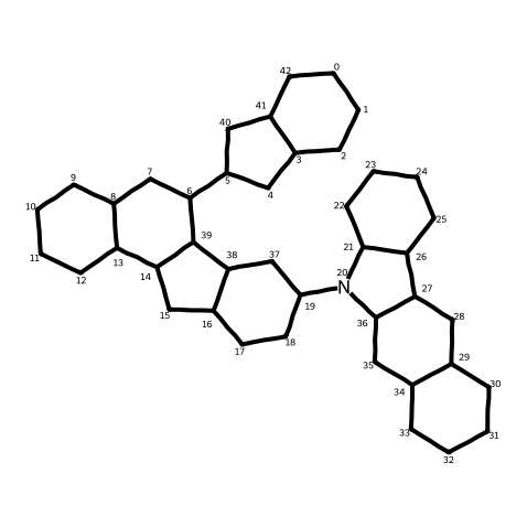 C1CCC2CC(C3CC4CCCCC4C4CC5CCC(N6C7CCCCC7C7CC8CCCCC8CC76)CC5C34)CC2C1